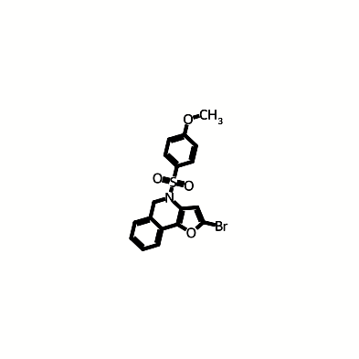 COc1ccc(S(=O)(=O)N2Cc3ccccc3-c3oc(Br)cc32)cc1